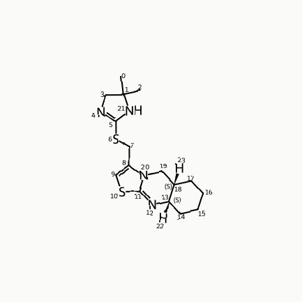 CC1(C)CN=C(SCC2=CSC3=N[C@H]4CCCC[C@H]4CN23)N1